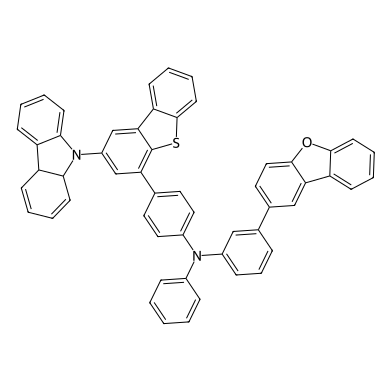 C1=CC2c3ccccc3N(c3cc(-c4ccc(N(c5ccccc5)c5cccc(-c6ccc7oc8ccccc8c7c6)c5)cc4)c4sc5ccccc5c4c3)C2C=C1